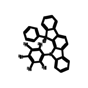 [2H]c1c([2H])c([2H])c(-n2c3ccccc3c3ccc4c(c32)P(=O)(c2ccccc2)c2ccccc2-4)c([2H])c1[2H]